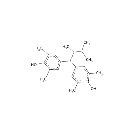 Cc1cc(C(c2cc(C)c(O)c(C)c2)C(C)C(C)C)cc(C)c1O